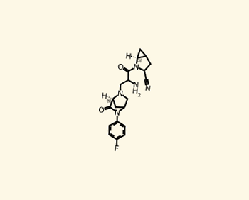 N#CC1CC2C[C@@H]2N1C(=O)C(N)CN1CC2C[C@H]1C(=O)N2c1ccc(F)cc1